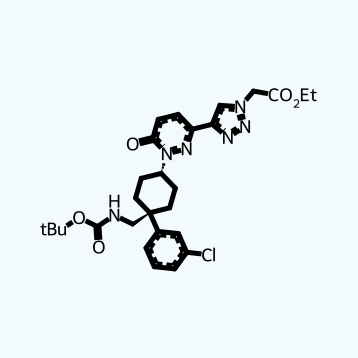 CCOC(=O)Cn1cc(-c2ccc(=O)n([C@H]3CC[C@@](CNC(=O)OC(C)(C)C)(c4cccc(Cl)c4)CC3)n2)nn1